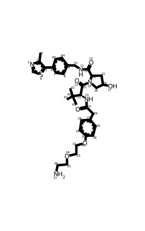 Cc1ncsc1-c1ccc(CNC(=O)C2CC(O)CN2C(=O)[C@@H](NC(=O)Cc2ccc(OCCOCCN)cc2)C(C)(C)C)cc1